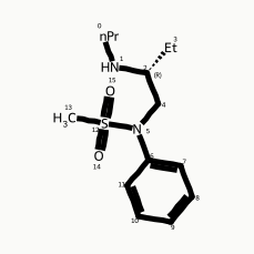 CCCN[C@H](CC)CN(c1ccccc1)S(C)(=O)=O